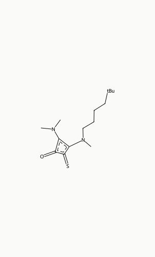 CN(C)c1c(N(C)CCCCC(C)(C)C)c(=S)c1=O